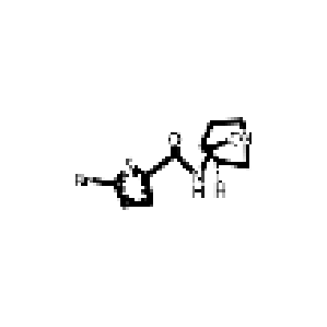 O=C(N[C@@H]1CN2CCC1CC2)c1ccc(Br)s1